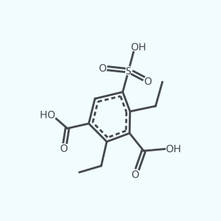 CCc1c(C(=O)O)cc(S(=O)(=O)O)c(CC)c1C(=O)O